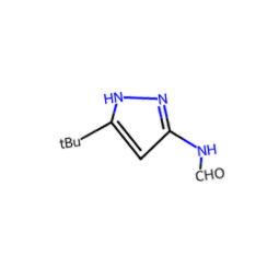 CC(C)(C)c1cc(NC=O)n[nH]1